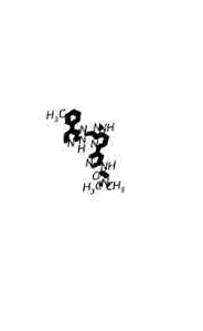 Cc1cccc(-c2ccnc3[nH]c(-c4n[nH]c5ccc(-c6cncc(NC(=O)CN(C)C)c6)nc45)nc23)c1